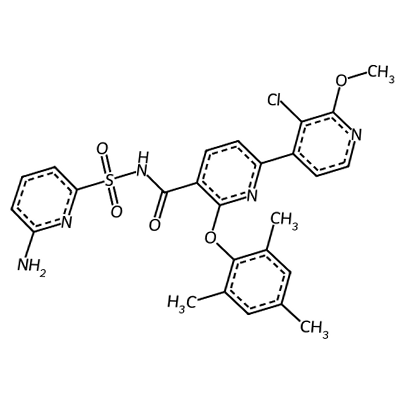 COc1nccc(-c2ccc(C(=O)NS(=O)(=O)c3cccc(N)n3)c(Oc3c(C)cc(C)cc3C)n2)c1Cl